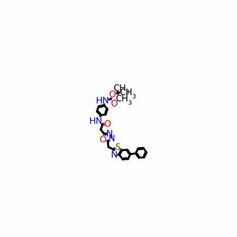 CC(C)(C)OC(=O)Nc1ccc(NC(=O)Cc2nnc(Cc3nc4ccc(-c5ccccc5)cc4s3)o2)cc1